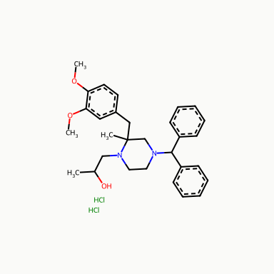 COc1ccc(CC2(C)CN(C(c3ccccc3)c3ccccc3)CCN2CC(C)O)cc1OC.Cl.Cl